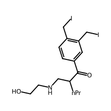 CCCC(CNCCO)C(=O)c1ccc(CI)c(CI)c1